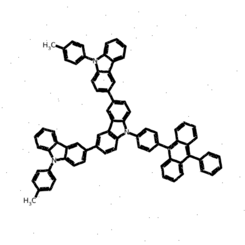 Cc1ccc(-n2c3ccccc3c3cc(-c4ccc5c(c4)c4cc(-c6ccc7c(c6)c6ccccc6n7-c6ccc(C)cc6)ccc4n5-c4ccc(-c5c6ccccc6c(-c6ccccc6)c6ccccc56)cc4)ccc32)cc1